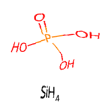 O=P(O)(O)O.[SiH4]